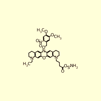 CCN1CCCc2cc3c(cc21)Oc1cc2c(cc1N3OCc1cc(OC)c(OC)cc1[N+](=O)[O-])CCCN2CCCC(=O)OSN